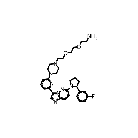 NCCOCCOCCN1CCN(c2cccc(-c3cnc4ccc(N5CCCC5c5cccc(F)c5)nn34)n2)CC1